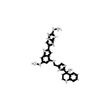 COc1cc(OCc2csc(C3(O)CCOc4ccccc43)n2)c2cc(-c3cn4nc(OC)sc4n3)oc2c1